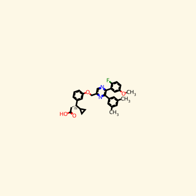 COc1ccc(F)c(-c2ncc(COc3cccc([C@@H](CC(=O)O)C4CC4)c3)nc2-c2cc(C)cc(C)c2)c1